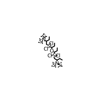 CCC(C[Si](Cl)(Cl)C(CC)OC(CC)[Si](Cl)(Cl)CC(CC)N([Si](C)(C)C)[Si](C)(C)C)N([Si](C)(C)C)[Si](C)(C)C